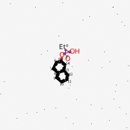 CCP(=O)(O)Oc1ccc2ccccc2c1